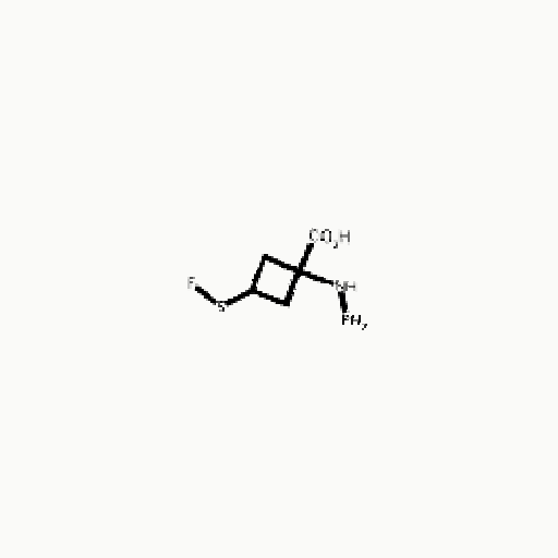 O=C(O)C1(NP)CC(SF)C1